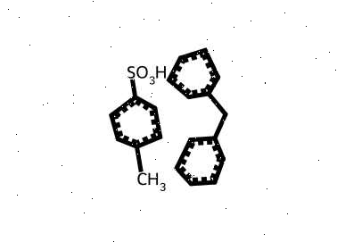 Cc1ccc(S(=O)(=O)O)cc1.c1ccc(Cc2ccccc2)cc1